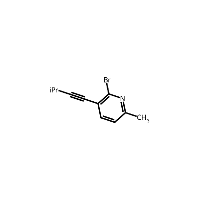 Cc1ccc(C#CC(C)C)c(Br)n1